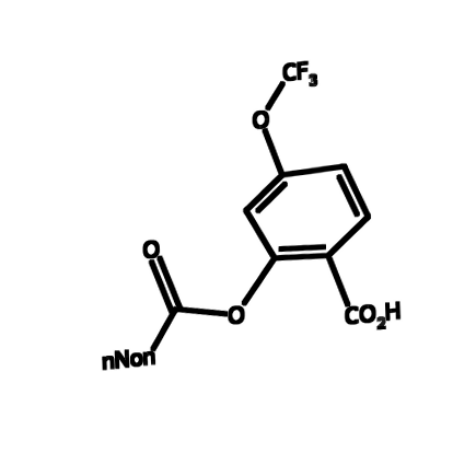 CCCCCCCCCC(=O)Oc1cc(OC(F)(F)F)ccc1C(=O)O